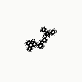 c1ccc(-c2nc(-c3ccccc3)nc(-c3ccc4c(c3)oc3c(-c5cc6oc7cccc8c9ccccc9c(c5)c6c78)cccc34)n2)cc1